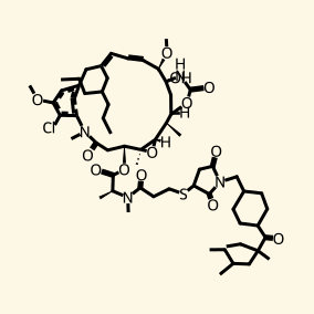 CCCC(CCC)C/C1=C\C=C\[C@@H](OC)[C@@]2(O)C[C@H](OC(=O)N2)[C@@H](C)[C@@H]2O[C@@]2(C)[C@@H](OC(=O)[C@H](C)N(C)C(=O)CCSC2CC(=O)N(CC3CCC(C(=O)C(C)(CC)CC(C)CC)CC3)C2=O)CC(=O)N(C)c2cc(cc(OC)c2Cl)C1